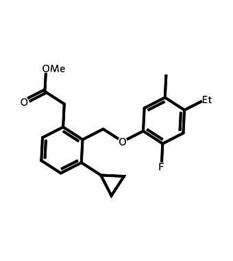 CCc1cc(F)c(OCc2c(CC(=O)OC)cccc2C2CC2)cc1C